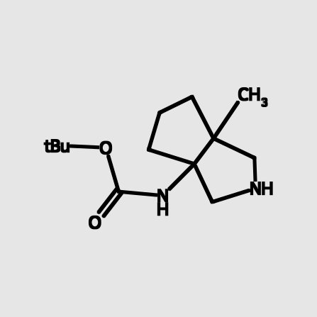 CC(C)(C)OC(=O)NC12CCCC1(C)CNC2